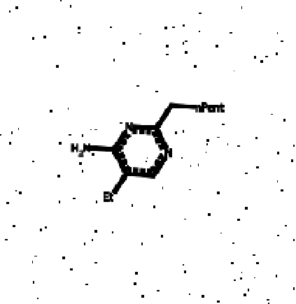 CCCCCCc1ncc(CC)c(N)n1